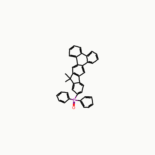 CC1(C)c2cc(P(=O)(c3ccccc3)c3ccccc3)ccc2-c2cc3c4ccccc4c4ccccc4c3cc21